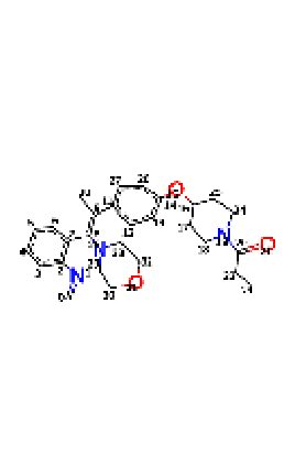 C=Nc1ccccc1/C(=C(\C)c1ccc(OC2CCN(C(=O)CC)CC2)cc1)N1CCOCC1